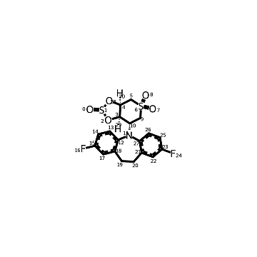 O=S1O[C@H]2[C@H](CS(=O)(=O)C[C@@H]2N2c3ccc(F)cc3CCc3cc(F)ccc32)O1